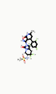 Cc1cc(-c2c(F)cc(F)cc2F)c2c(-n3cc4n(c3=O)C[C@@H](NS(C)(=O)=O)C(F)(F)C4)noc2n1